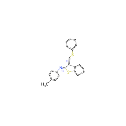 Cc1ccc(/N=C2\Sc3ccccc3\C2=C/Sc2ccccc2)cc1